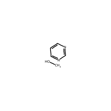 CO.c1cncnc1